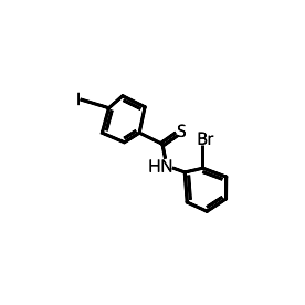 S=C(Nc1ccccc1Br)c1ccc(I)cc1